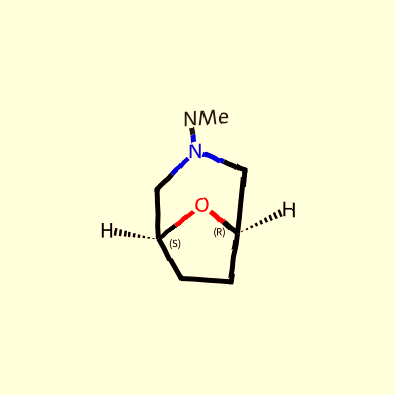 CNN1C[C@H]2CC[C@@H](C1)O2